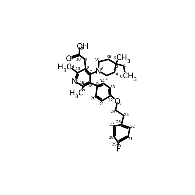 CCC1(C)CCN(c2c(CC(=O)O)c(C)nc(C)c2-c2ccc(OCCc3ccc(F)cc3)cc2)CC1